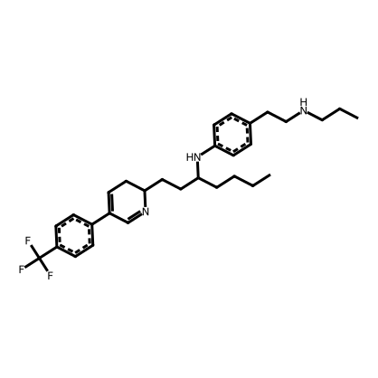 CCCCC(CCC1CC=C(c2ccc(C(F)(F)F)cc2)C=N1)Nc1ccc(CCNCCC)cc1